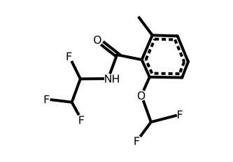 Cc1cccc(OC(F)F)c1C(=O)NC(F)C(F)F